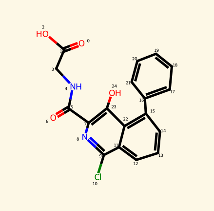 O=C(O)CNC(=O)c1nc(Cl)c2cccc(-c3ccccc3)c2c1O